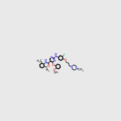 CCCOc1ccccc1Oc1nc(Nc2ccc(OCCCN3CCN(C)CC3)c(F)c2)ncc1C(=O)Nc1c(C)cccc1C